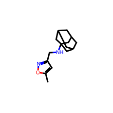 Cc1cc(CNC23CC4CC(CC(C4)C2)C3)no1